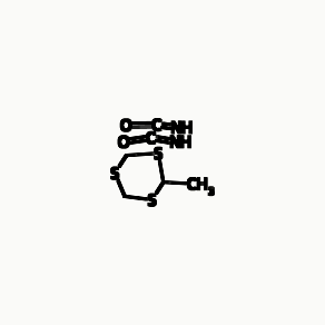 CC1SCSCS1.N=C=O.N=C=O